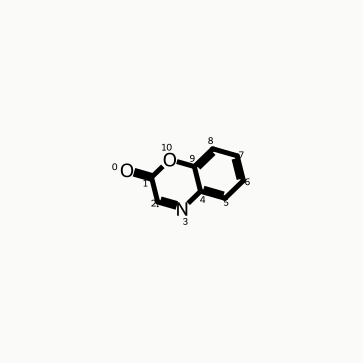 O=c1[c]nc2ccccc2o1